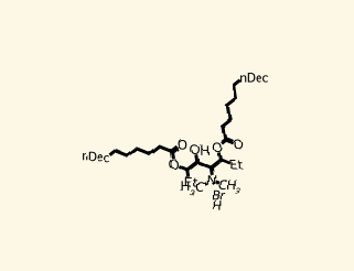 Br.CCCCCCCCCCCCCCCC(=O)OC(CC)C(O)C(C(CC)OC(=O)CCCCCCCCCCCCCCC)N(C)C